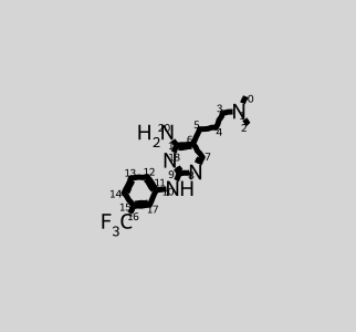 CN(C)CCCc1cnc(Nc2cccc(C(F)(F)F)c2)nc1N